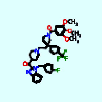 COc1cc(C(=O)N2CCC(CCN3CCC(C(=O)c4nc5ccccc5n4Cc4ccc(F)cc4)CC3)(c3ccc(C(F)(F)F)cc3)C2)cc(OC)c1OC